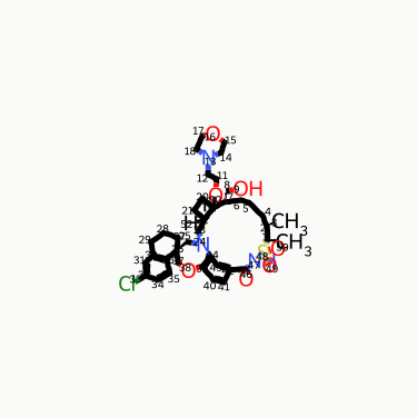 C[C@@H]1[C@@H](C)CCC[C@](CO)(OCCN2CCOCC2)[C@@H]2CC[C@H]2CN2C[C@@]3(CCCc4cc(Cl)ccc43)COc3ccc(cc32)C(=O)NS1(=O)=O